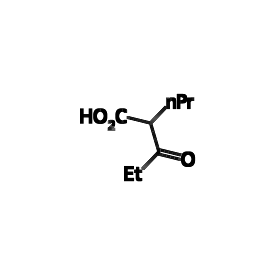 CCCC(C(=O)O)C(=O)CC